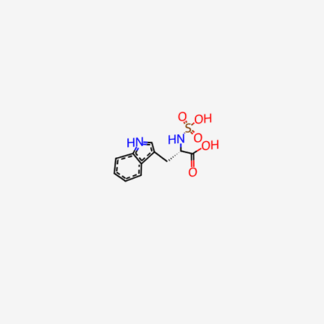 O=C(O)[C@H](Cc1c[nH]c2ccccc12)NS(=O)(=O)O